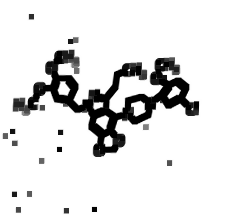 CCCc1nn(Cc2ccc(OC)c(OC)c2)c2cc3c(c(N4CCN(c5cc(Cl)ccc5OC)CC4)c12)OCO3